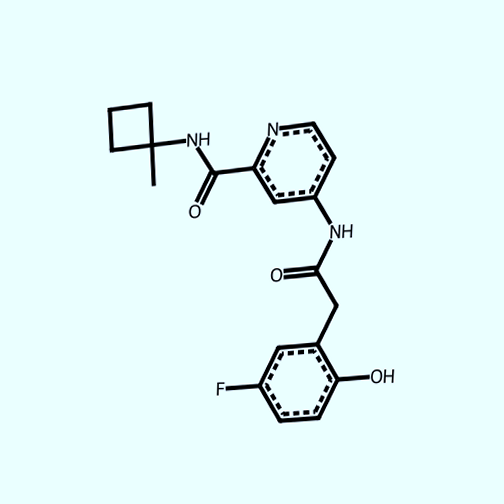 CC1(NC(=O)c2cc(NC(=O)Cc3cc(F)ccc3O)ccn2)CCC1